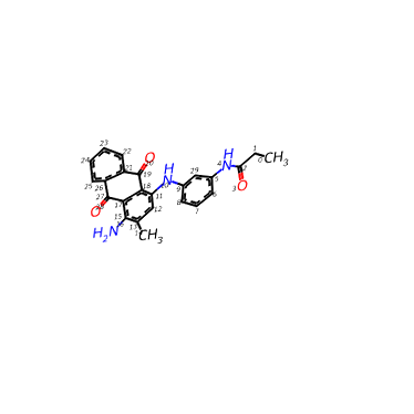 CCC(=O)Nc1cccc(Nc2cc(C)c(N)c3c2C(=O)c2ccccc2C3=O)c1